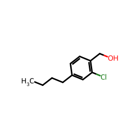 CCCCc1ccc(CO)c(Cl)c1